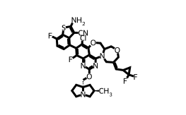 C[C@H]1CN2CCC[C@@]2(COc2nc3c4c(c(Cl)c(-c5ccc(F)c6sc(N)c(C#N)c56)c(F)c4n2)OCC2COC/C(=C\C4CC4(F)F)CN32)C1